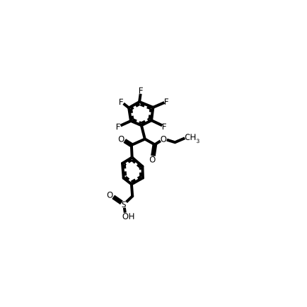 CCOC(=O)C(C(=O)c1ccc(CS(=O)O)cc1)c1c(F)c(F)c(F)c(F)c1F